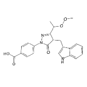 COOC(C)C1=NN(c2ccc(C(=O)O)cc2)C(=O)C1Cc1c[nH]c2ccccc12